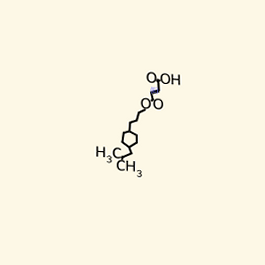 CC(C)CC1CCC(CCCCOC(=O)/C=C/C(=O)O)CC1